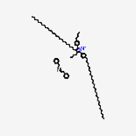 CCCCCCCCCCCCCCCCCCCCCCCCCCCCCc1ccc(C2=C(CCCC)C(CCCCCCCCCCCCCCCCCCCCCCCCC)=C(c3ccc(CCCC)cc3)[N+]2=[N-])cc1.c1ccc(C[CH2][Ni][CH2]Cc2ccccc2)cc1